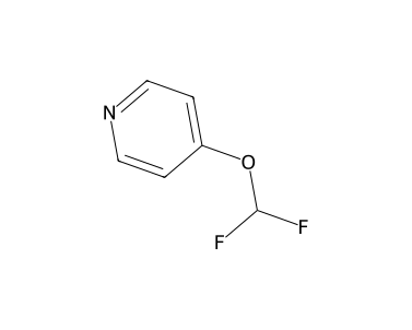 FC(F)Oc1ccncc1